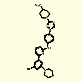 COC1CCN(c2ncn(-c3ccc(Nc4nccc(-c5cc(C#N)cc(N6CCOCC6)c5)n4)cc3)n2)CC1